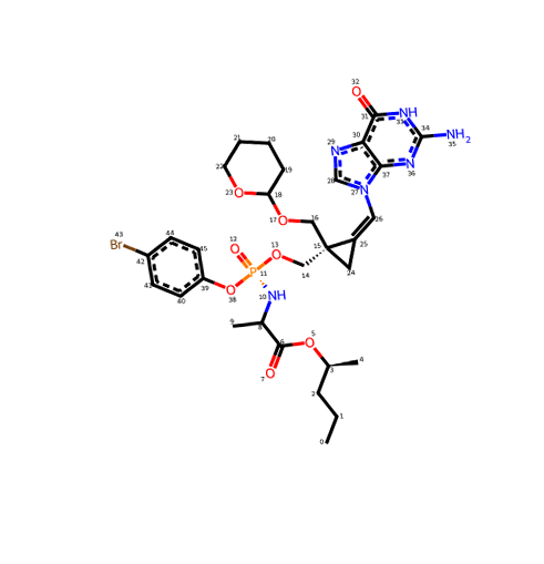 CCC[C@H](C)OC(=O)C(C)N[P@](=O)(OC[C@@]1(COC2CCCCO2)C/C1=C/n1cnc2c(=O)[nH]c(N)nc21)Oc1ccc(Br)cc1